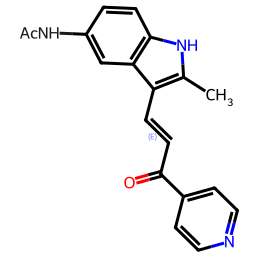 CC(=O)Nc1ccc2[nH]c(C)c(/C=C/C(=O)c3ccncc3)c2c1